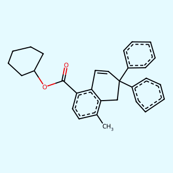 Cc1ccc(C(=O)OC2CCCCC2)c2c1CC(c1ccccc1)(c1ccccc1)C=C2